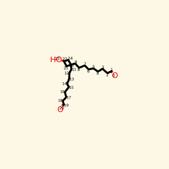 O=CCCCCCCCCC1(CCCCCCCCC=O)CC(O)C1